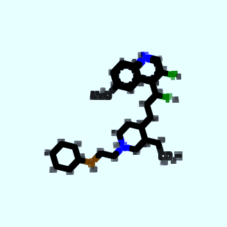 COc1ccc2ncc(F)c(C(F)CCC3CCN(CCSC4CCCCC4)CC3CC(=O)O)c2c1